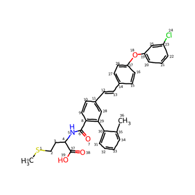 CSCCC(NC(=O)c1ccc(C=Cc2ccc(Oc3cccc(Cl)c3)cc2)cc1-c1ccccc1C)C(=O)O